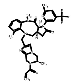 C=CC(=O)N1Cc2nc(CN3C[C@H]4CC(=O)N(c5cc(C(F)(F)F)cc(C)n5)[C@@H]4C(=O)N(C)c4cccc(C)c43)cn2C[C@H]1C